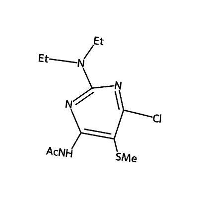 CCN(CC)c1nc(Cl)c(SC)c(NC(C)=O)n1